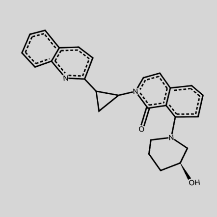 O=c1c2c(N3CCC[C@H](O)C3)cccc2ccn1C1CC1c1ccc2ccccc2n1